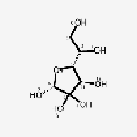 OCC(O)[C@H]1O[C@@H](O)C(O)(O)[C@@H]1O